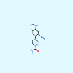 CNC(=O)c1ccc(-c2cc3c(cc2C#N)N(C)CCC3)cn1